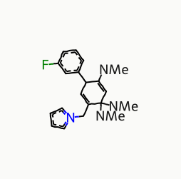 CNC1=CC(NC)(NC)C(Cn2cccc2)=CC1c1cccc(F)c1